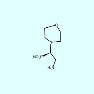 NC[C@@H](C(=O)O)N1CCOCC1